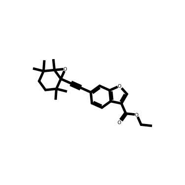 CCOC(=O)c1coc2cc(C#CC34OC3(C)C(C)(C)CCC4(C)C)ccc12